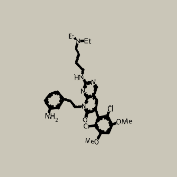 CCN(CC)CCCCNc1ncc2cc(-c3c(Cl)c(OC)cc(OC)c3Cl)c(=O)n(CCc3cccc(N)c3)c2n1